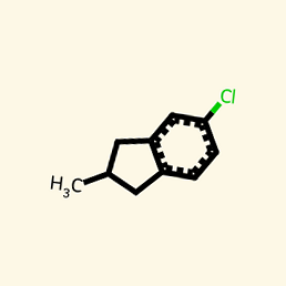 CC1Cc2ccc(Cl)cc2C1